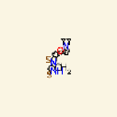 C=C1NC(=S)CCC1N1Cc2cc(O[C@H]3CCC[C@@H]3N(CC3CC3)CC3CC3)ccc2C1=S